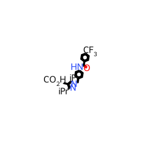 CC(C)c1nn(Cc2ccc(NC(=O)c3ccc(C(F)(F)F)cc3)cc2)c(C(C)C)c1CC(=O)O